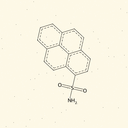 NS(=O)(=O)c1ccc2ccc3cccc4ccc1c2c34